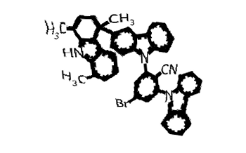 CC1=CCC(C)(c2ccc3c(c2)c2ccccc2n3-c2cc(Br)cc(-n3c4ccccc4c4ccccc43)c2C#N)c2c1[nH]c1c(C)cccc21